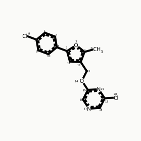 Cc1oc(-c2ccc(Cl)cc2)cc1COc1cncc(Cl)n1